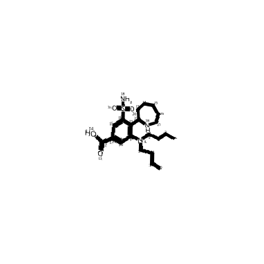 CCCCN(CCCC)c1cc(C(=O)O)cc(S(N)(=O)=O)c1C1CCCCCN1